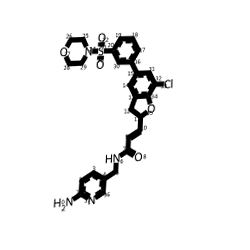 Nc1ccc(CNC(=O)C=CC2Cc3cc(-c4cccc(S(=O)(=O)N5CCOCC5)c4)cc(Cl)c3O2)cn1